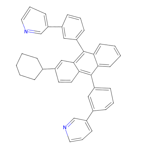 c1cncc(-c2cccc(-c3c4ccccc4c(-c4cccc(-c5cccnc5)c4)c4cc(C5CCCCC5)ccc34)c2)c1